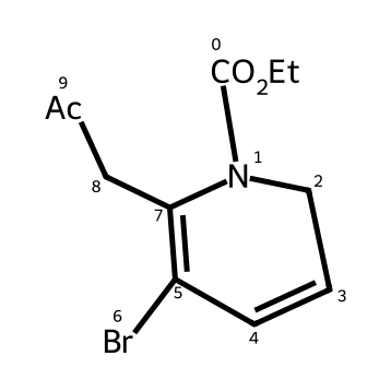 CCOC(=O)N1CC=CC(Br)=C1CC(C)=O